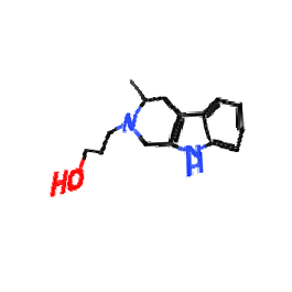 CC1Cc2c([nH]c3ccccc23)CN1CCCO